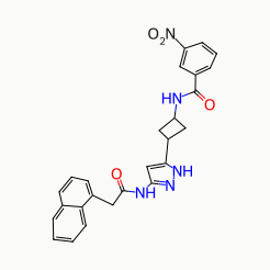 O=C(Cc1cccc2ccccc12)Nc1cc(C2CC(NC(=O)c3cccc([N+](=O)[O-])c3)C2)[nH]n1